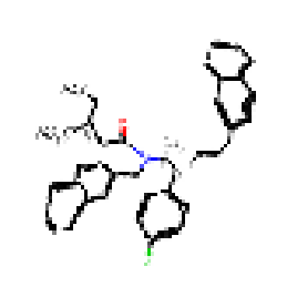 C[C@H]([C@H](CC=Cc1ccc2ccccc2c1)c1ccc(Cl)cc1)N(Cc1ccc2ccccc2c1)C(=O)C[C@H](CC(=O)O)C(=O)O